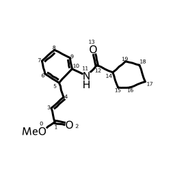 COC(=O)C=Cc1ccccc1NC(=O)C1CCCCC1